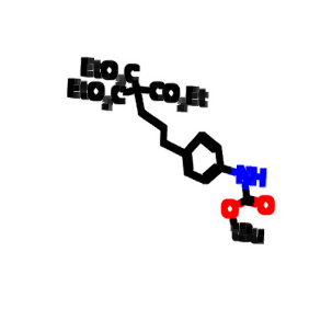 CCOC(=O)C(CCCc1ccc(NC(=O)OC(C)(C)C)cc1)(C(=O)OCC)C(=O)OCC